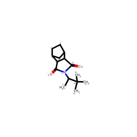 CC(N1C(=O)C2C3CCC(C3)C2C1=O)C(C)(C)C